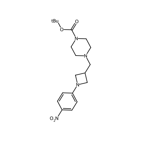 CC(C)(C)OC(=O)N1CCN(CC2CN(c3ccc([N+](=O)[O-])cc3)C2)CC1